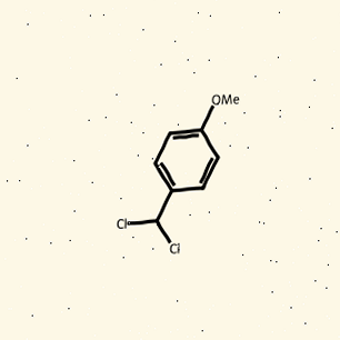 COc1ccc(C(Cl)Cl)cc1